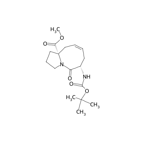 COC(=O)[C@]12CC=CC[C@H](NC(=O)OC(C)(C)C)C(=O)N1CCC2